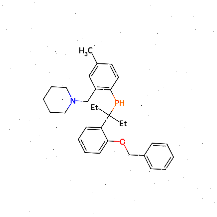 CCC(CC)(Pc1ccc(C)cc1CN1CCCCC1)c1ccccc1OCc1ccccc1